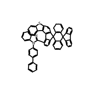 C1=CC2=C(CC1)C1(c3ccccc3C23c2ccccc2-c2ccccc23)c2cccc(-c3nc4ccccc4n3-c3ccc(-c4ccccc4)cc3)c2-c2c1ccc1sc3ccccc3c21